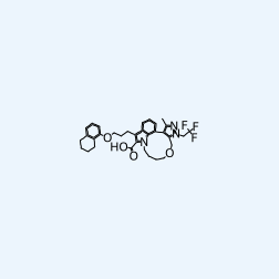 Cc1nn(CC(F)(F)F)c2c1-c1cccc3c(CCCOc4cccc5c4CCCC5)c(C(=O)O)n(c13)CCCCOC2